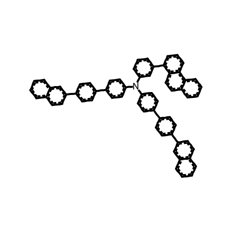 c1cc(-c2cccc3c2ccc2ccccc23)cc(N(c2ccc(-c3ccc(-c4ccc5ccccc5c4)cc3)cc2)c2ccc(-c3ccc(-c4ccc5ccccc5c4)cc3)cc2)c1